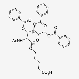 CC(=O)NC1C(OC(=O)c2ccccc2)[C@@H](OC(=O)c2ccccc2)C(COC(=O)c2ccccc2)O[C@H]1OCCCCC(=O)O